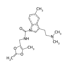 C=C1OC(C)=C(CNC(=O)n2cc(CCN(C)C)c3cc(C)ccc32)O1